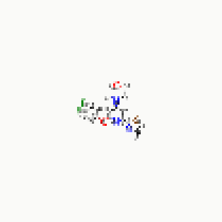 Cc1csc(-c2cc(N3CCOCC3)cc(OC3CCC(F)(F)CC3)n2)n1